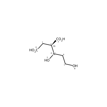 O=C(O)C[C@@H](C(=O)O)N(O)CCO